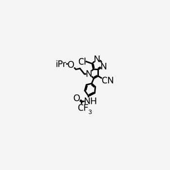 CC(C)OCCCn1c(-c2ccc(NC(=O)C(F)(F)F)cc2)c(C#N)c2ncnc(Cl)c21